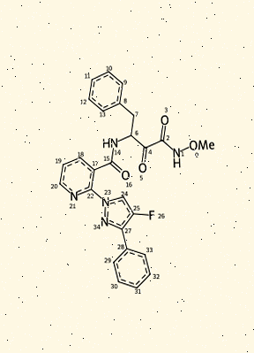 CONC(=O)C(=O)C(Cc1ccccc1)NC(=O)c1cccnc1-n1cc(F)c(-c2ccccc2)n1